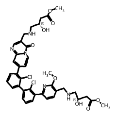 COC(=O)C[C@H](O)CNCc1cnc2cc(-c3cccc(-c4cccc(-c5ccc(CNC[C@H](O)CC(=O)OC)c(OC)n5)c4Cl)c3Cl)ccn2c1=O